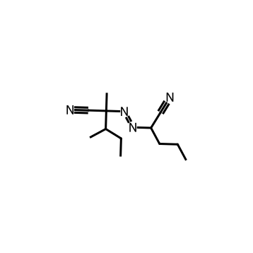 CCCC(C#N)/N=N/C(C)(C#N)C(C)CC